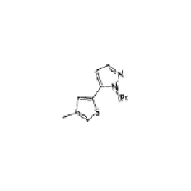 Cc1csc(-c2ccnn2C(C)C)c1